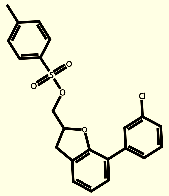 Cc1ccc(S(=O)(=O)OCC2Cc3cccc(-c4cccc(Cl)c4)c3O2)cc1